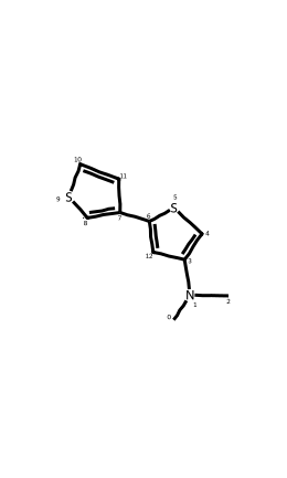 CN(C)c1csc(-c2[c]scc2)c1